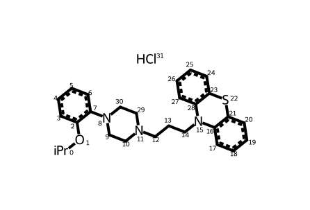 CC(C)Oc1ccccc1N1CCN(CCCN2c3ccccc3Sc3ccccc32)CC1.Cl